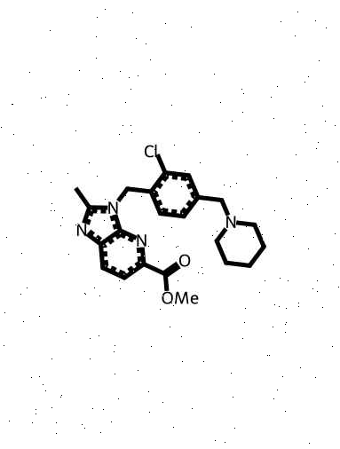 COC(=O)c1ccc2nc(C)n(Cc3ccc(CN4CCCCC4)cc3Cl)c2n1